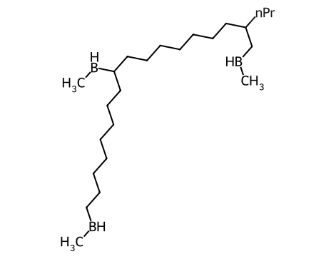 CBCCCCCCCCC(BC)CCCCCCCC(CBC)CCC